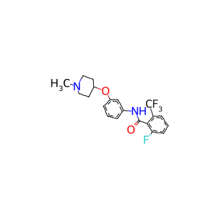 CN1CCC(Oc2cccc(NC(=O)c3c(F)cccc3C(F)(F)F)c2)CC1